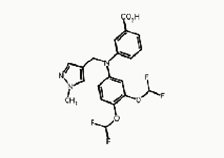 Cn1cc(CN(c2cccc(C(=O)O)c2)c2ccc(OC(F)F)c(OC(F)F)c2)cn1